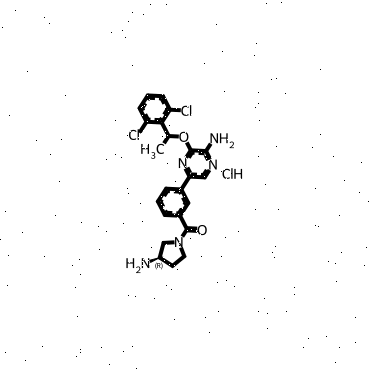 CC(Oc1nc(-c2cccc(C(=O)N3CC[C@@H](N)C3)c2)cnc1N)c1c(Cl)cccc1Cl.Cl